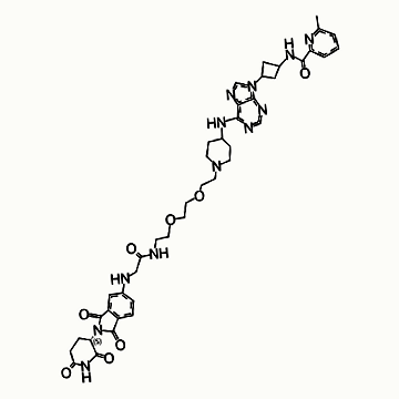 Cc1cccc(C(=O)NC2CC(n3cnc4c(NC5CCN(CCOCCOCCNC(=O)CNc6ccc7c(c6)C(=O)N([C@H]6CCC(=O)NC6=O)C7=O)CC5)ncnc43)C2)n1